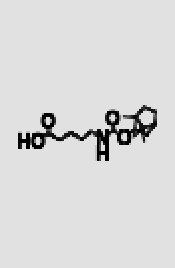 CC1(C)C2CCC1(C)C(OC(=O)NCCCCC(=O)O)C2